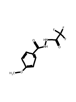 COc1ccc(C(=O)NNC(=O)C(F)(F)F)cc1